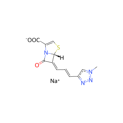 Cn1cc(/C=C/C=C2/C(=O)N3C(C(=O)[O-])=CS[C@H]23)nn1.[Na+]